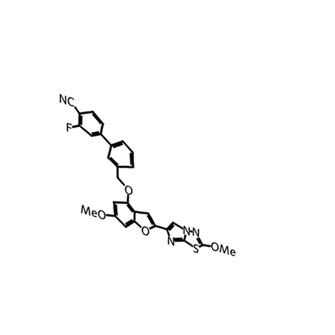 COc1cc(OCc2cccc(-c3ccc(C#N)c(F)c3)c2)c2cc(-c3cn4nc(OC)sc4n3)oc2c1